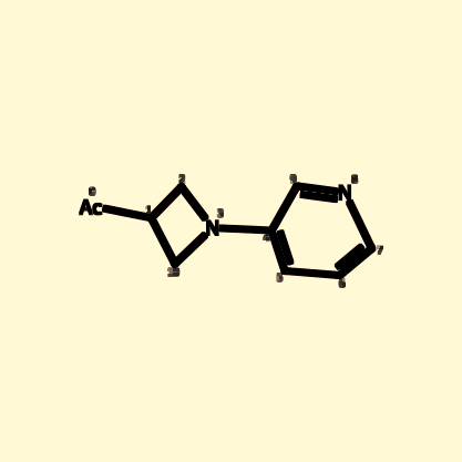 CC(=O)C1CN(c2cccnc2)C1